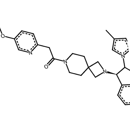 COc1ccc(CC(=O)N2CCC3(CC2)CN([C@@H]2c4ccccc4CC2n2cc(C)cn2)C3)nc1